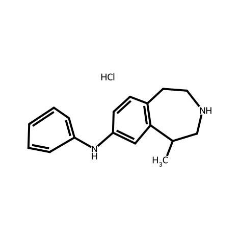 CC1CNCCc2ccc(Nc3ccccc3)cc21.Cl